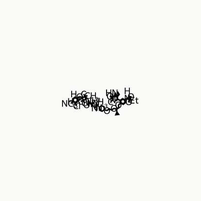 CCS(=O)(=O)Nc1ccc(OCC(OCCOC2CCN(c3ncc(C(=O)NC4C(C)(C)C(Oc5ccc(C#N)c(Cl)c5)C4(C)C)cn3)CC2)C2CC2)c(-c2cn(C)c(=O)c3[nH]ccc23)c1